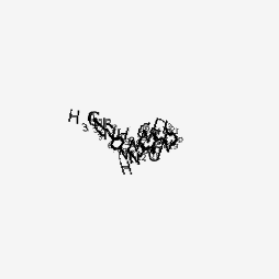 CN1CCN(c2ccc(Nc3ncc4c(=O)c(-c5ncccc5Cl)cn(C)c4n3)cc2)CC1